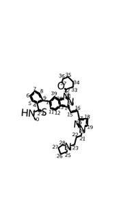 CNC(=S)c1ccccc1-c1ccc2c(/C=C/c3ccn(CCCN4CCCC4)n3)nn(C3CCCCO3)c2c1